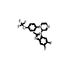 Cc1nc2cc(F)c(F)cc2n1C1C=NC=CN1c1ccc(OC(F)(F)F)cc1